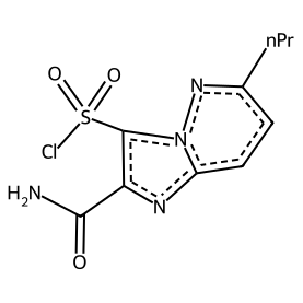 CCCc1ccc2nc(C(N)=O)c(S(=O)(=O)Cl)n2n1